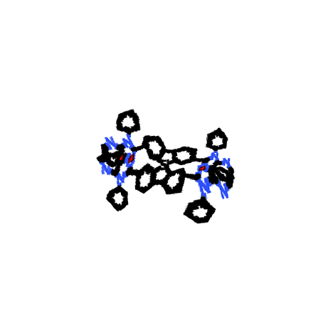 c1ccc(-n2c(-c3ccc4c(c3)[Si]3(c5cc(-c6nc7cccnc7n6-c6ccccc6)ccc5-4)c4cc(-c5nc6cccnc6n5-c5ccccc5)ccc4-c4ccc(-c5nc6cccnc6n5-c5ccccc5)cc43)nc3cccnc32)cc1